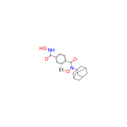 CCON(C(=O)c1ccc(C(=O)NO)cc1)C12CC3CC(CC(C3)C1)C2